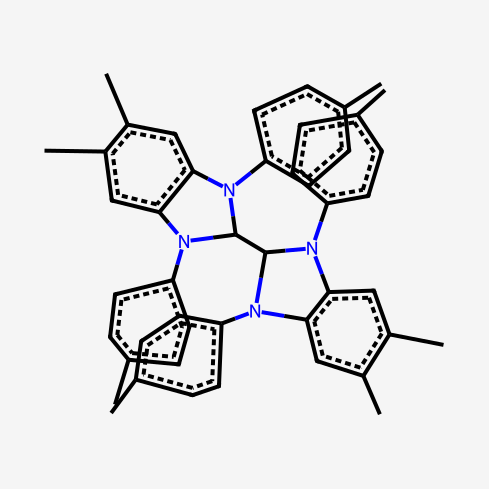 Cc1ccc(N2c3cc(C)c(C)cc3N(c3ccc(C)cc3)C2C2N(c3ccc(C)cc3)c3cc(C)c(C)cc3N2c2ccc(C)cc2)cc1